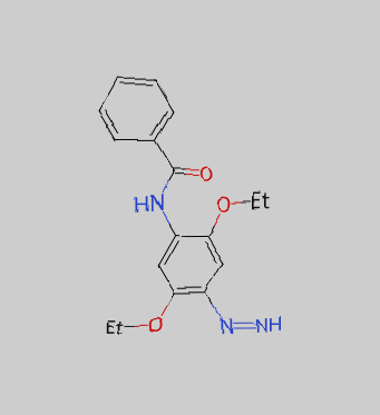 CCOc1cc(NC(=O)c2ccccc2)c(OCC)cc1N=N